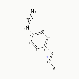 C/C=C/c1ccc(N=[N+]=[N-])cc1